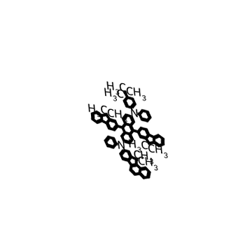 CC1(C)C2=CC(C3=C4C=C(N(C5=CCC(C(C)(C)C)C=C5)C5C=CC=CC5)C=CC4C(c4ccc5c(c4)C(C)(C)c4ccccc4-5)C4CC(N(c5ccccc5)c5ccc6c(c5)C(C)(C)c5c-6ccc6ccccc56)=CC=C34)CC=C2c2ccccc21